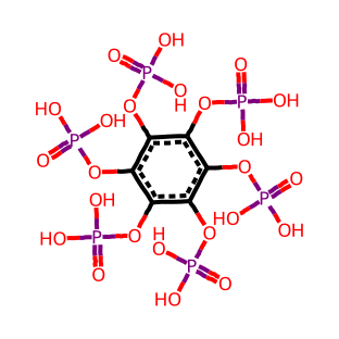 O=P(O)(O)Oc1c(OP(=O)(O)O)c(OP(=O)(O)O)c(OP(=O)(O)O)c(OP(=O)(O)O)c1OP(=O)(O)O